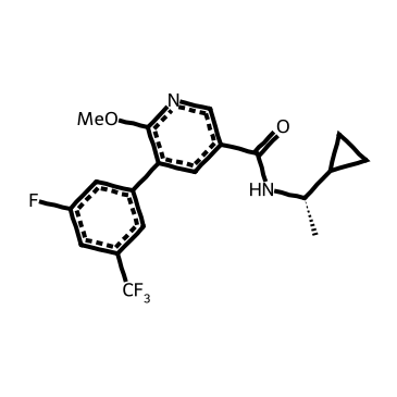 COc1ncc(C(=O)N[C@@H](C)C2CC2)cc1-c1cc(F)cc(C(F)(F)F)c1